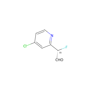 O=C[C@@H](F)c1cc(Cl)ccn1